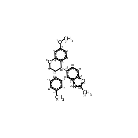 COc1ccc2c(c1)OC[C@@H](c1ccc(C)cc1)[C@H]2c1ccc2oc(C)nc2c1